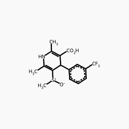 CC1=C(C(=O)O)C(c2cccc(C(F)(F)F)c2)C([S+](C)[O-])=C(C)N1